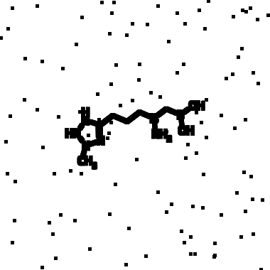 CN1N=C(CCCN(N)CB(O)O)NN1